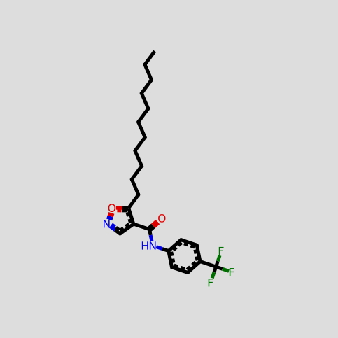 CCCCCCCCCCCc1oncc1C(=O)Nc1ccc(C(F)(F)F)cc1